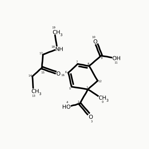 CC1(C(=O)O)C=CC=C(C(=O)O)C1.CCC(=O)CNC